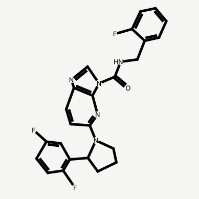 O=C(NCc1ccccc1F)n1cnc2ccc(N3CCCC3c3cc(F)ccc3F)nc21